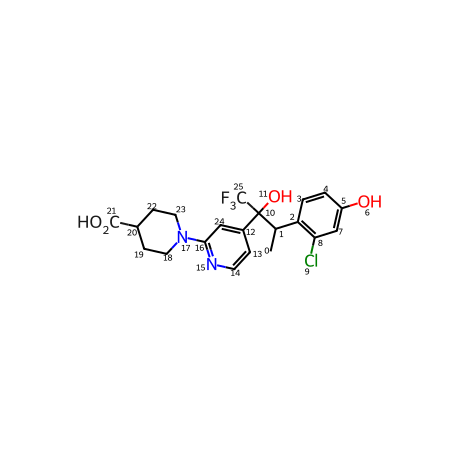 CC(c1ccc(O)cc1Cl)C(O)(c1ccnc(N2CCC(C(=O)O)CC2)c1)C(F)(F)F